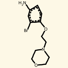 Nc1ccc(OCCN2CCOCC2)c(Br)c1